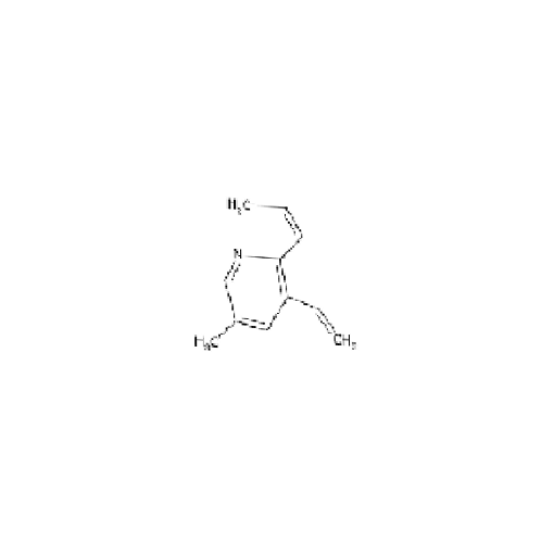 C=Cc1cc(C)cnc1/C=C\C